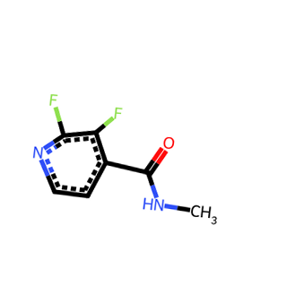 CNC(=O)c1ccnc(F)c1F